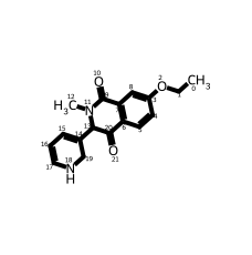 CCOc1ccc2c(c1)C(=O)N(C)C(C1=CC=CNC1)C2=O